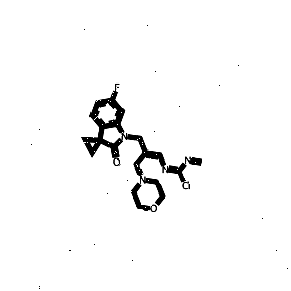 C=N/C(Cl)=N\C=C(/CN1CCOCC1)CN1C(=O)C2(CC2)c2ccc(F)cc21